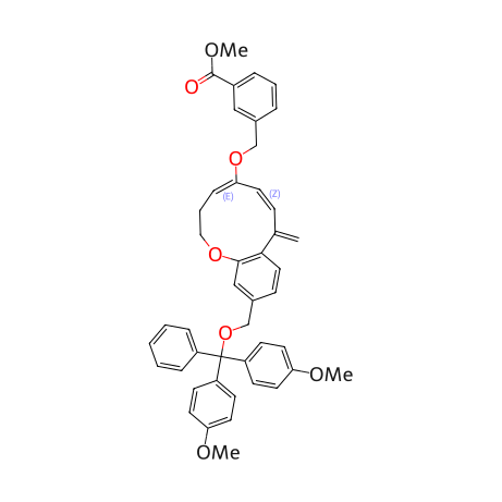 C=C1/C=C\C(OCc2cccc(C(=O)OC)c2)=C/CCOc2cc(COC(c3ccccc3)(c3ccc(OC)cc3)c3ccc(OC)cc3)ccc21